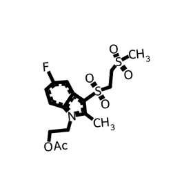 CC(=O)OCCn1c(C)c(S(=O)(=O)CCS(C)(=O)=O)c2cc(F)ccc21